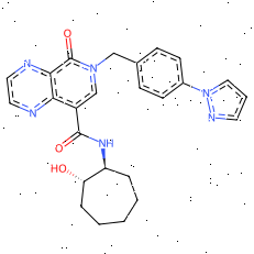 O=C(N[C@H]1CCCCC[C@@H]1O)c1cn(Cc2ccc(-n3cccn3)cc2)c(=O)c2nccnc12